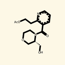 CC(=O)OCCc1ncccc1C(=O)N1CCOC[C@H]1CO